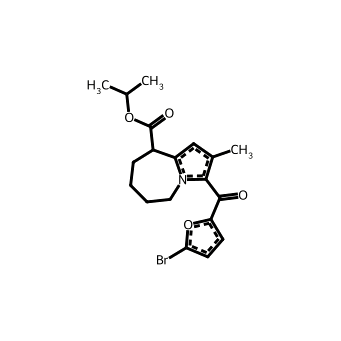 Cc1cc2n(c1C(=O)c1ccc(Br)o1)CCCCC2C(=O)OC(C)C